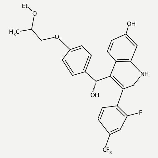 CCOC(C)COc1ccc([C@@H](O)C2=C(c3ccc(C(F)(F)F)cc3F)CNc3cc(O)ccc32)cc1